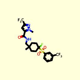 Cn1nc(C(F)(F)F)cc1C(=O)NCC1(C)CCC(F)(S(=O)(=O)c2cccc(C(F)(F)F)c2)CC1